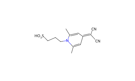 CC1=CC(=C(C#N)C#N)C=C(C)N1CCCS(=O)(=O)O